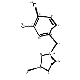 C[C@@H]1CCN(Cc2ccc(F)c(Cl)c2)C1